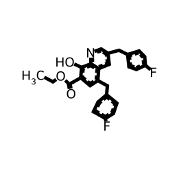 CCOC(=O)c1cc(Cc2ccc(F)cc2)c2cc(Cc3ccc(F)cc3)cnc2c1O